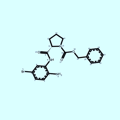 Nc1ccc(Br)cc1NC(=O)[C@@H]1CCCN1C(=O)OCc1ccccc1